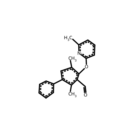 Cc1cccc(Oc2c(C)cc(-c3ccccc3)c(C)c2C=O)n1